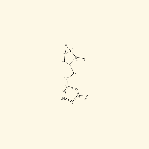 CN1C(COc2cncc(Br)c2)CC2CC21